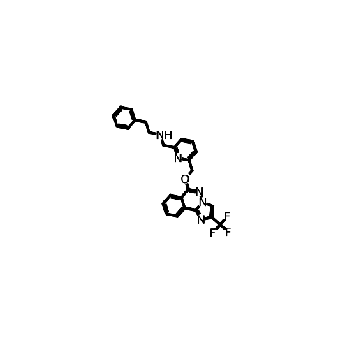 FC(F)(F)c1cn2nc(OCc3cccc(CNCCc4ccccc4)n3)c3ccccc3c2n1